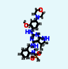 COc1cc(N2CCOCC2)ccc1Nc1nc(NCc2ccccc2N(C)S(C)(=O)=O)c2c(n1)NCC2C